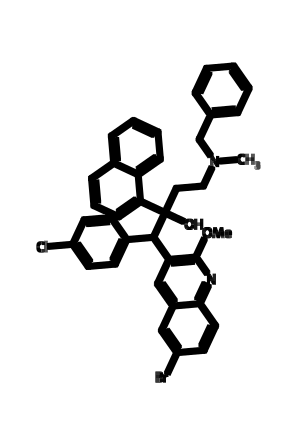 COc1nc2ccc(Br)cc2cc1C(c1ccc(Cl)cc1)C(O)(CCN(C)Cc1ccccc1)c1cccc2ccccc12